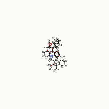 C[C@@H]1C=Cc2c(cccc2-c2ccccc2N(c2ccccc2-c2cccc3cccc(-c4ccccc4)c23)c2ccccc2-c2cccc3oc4ccccc4c23)-c2ccccc21